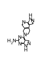 Nc1nc(N2CCc3c(cnc4[nH]ncc34)C2)c2cn[nH]c2n1